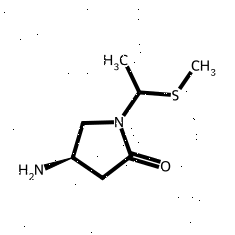 CSC(C)N1C[C@H](N)CC1=O